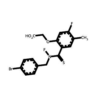 Cc1cc(C(=S)N(F)Cc2ccc(Br)cc2)c(OCC(=O)O)cc1F